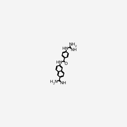 N=C(N)Nc1ccc(C(=O)Nc2ccc3cc(C(=N)N)ccc3c2)cc1